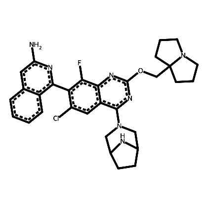 Nc1cc2ccccc2c(-c2c(Cl)cc3c(N4CC5CCC(C4)N5)nc(OCC45CCCN4CCC5)nc3c2F)n1